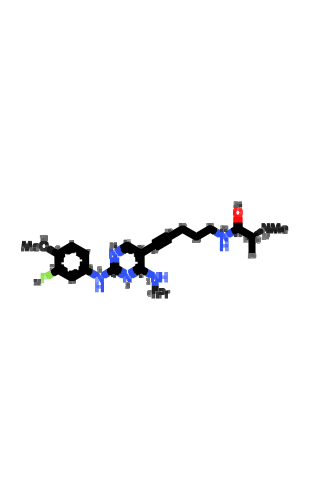 CCCNc1nc(Nc2ccc(OC)c(F)c2)ncc1C#CCCCNC(=O)[C@H](C)NC